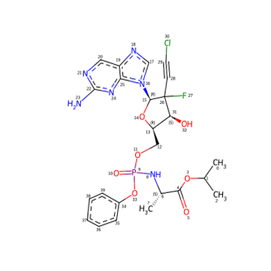 CC(C)OC(=O)[C@H](C)NP(=O)(OC[C@H]1O[C@@H](n2cnc3cnc(N)nc32)C(F)(C#CCl)[C@H]1O)Oc1ccccc1